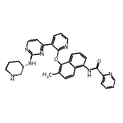 Cc1ccc2c(NC(=O)c3ccccn3)cccc2c1Oc1ncccc1-c1ccnc(N[C@H]2CCCNC2)n1